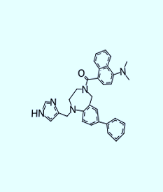 CN(C)c1ccc(C(=O)N2CCN(Cc3c[nH]cn3)c3ccc(-c4ccccc4)cc3C2)c2ccccc12